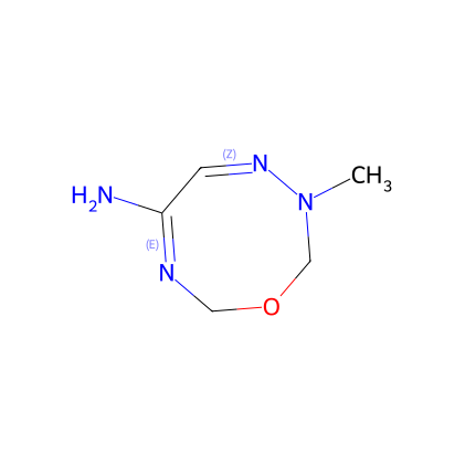 CN1COC/N=C(N)\C=N/1